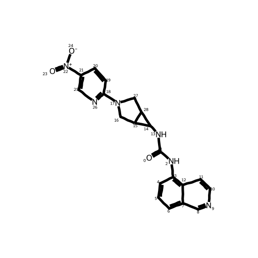 O=C(Nc1cccc2cnccc12)NC1C2CN(c3ccc([N+](=O)[O-])cn3)CC21